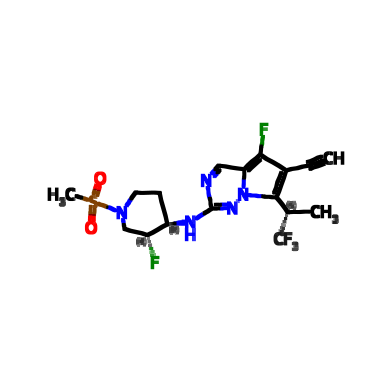 C#Cc1c(F)c2cnc(N[C@@H]3CCN(S(C)(=O)=O)C[C@H]3F)nn2c1[C@H](C)C(F)(F)F